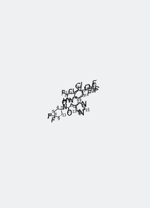 O=C(NC1CCC(F)(F)CC1)C(c1cncnc1)N(C(=O)C(F)Cl)c1ccc(OC(F)(F)F)c(Cl)c1